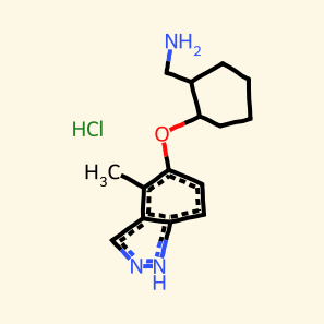 Cc1c(OC2CCCCC2CN)ccc2[nH]ncc12.Cl